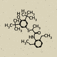 CCc1cccc(CC)c1NC(=O)C(C)Sc1cc(C(C)(C)C)c(O)c(C(C)(C)C)c1